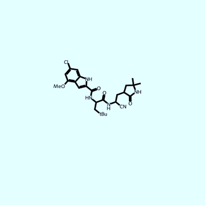 COc1cc(Cl)cc2[nH]c(C(=O)NC(CC(C)(C)C)C(=O)NC(C#N)CC3CC(C)(C)NC3=O)cc12